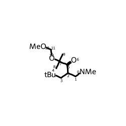 CNCC(CC(C)(C)C)C(=O)C(C)(C)OCOC